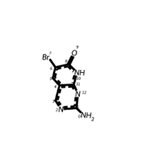 Nc1ncc2cc(Br)c(=O)[nH]c2n1